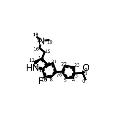 CC(=O)c1ccc(-c2cc(F)c3[nH]cc(CCN(C)C)c3c2)cc1